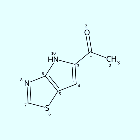 CC(=O)c1cc2scnc2[nH]1